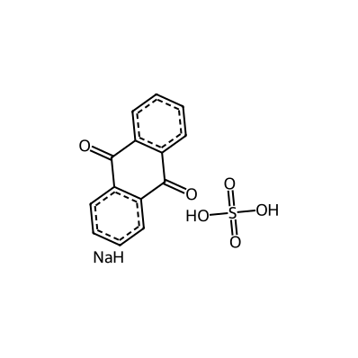 O=C1c2ccccc2C(=O)c2ccccc21.O=S(=O)(O)O.[NaH]